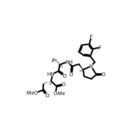 COC(=O)C[C@H](NC(=O)[C@@H](NC(=O)C[C@@H]1CCC(=O)N1Cc1cccc(F)c1F)C(C)C)C(=O)OC